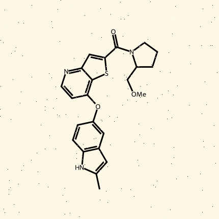 COCC1CCCN1C(=O)c1cc2nccc(Oc3ccc4[nH]c(C)cc4c3)c2s1